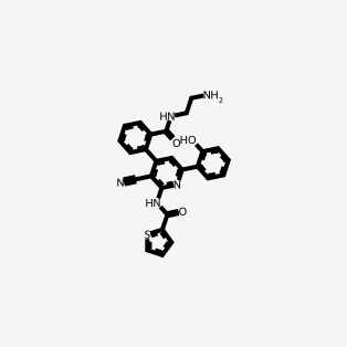 N#Cc1c(-c2ccccc2C(=O)NCCN)cc(-c2ccccc2O)nc1NC(=O)c1cccs1